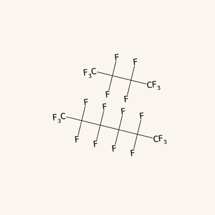 FC(F)(F)C(F)(F)C(F)(F)C(F)(F)C(F)(F)C(F)(F)F.FC(F)(F)C(F)(F)C(F)(F)C(F)(F)F